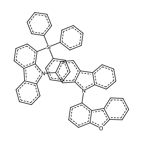 c1ccc([Si](c2ccccc2)(c2ccccc2)c2cccc3c4ccccc4n(-c4ccc5c6ccccc6n(-c6cccc7oc8ccccc8c67)c5c4)c23)cc1